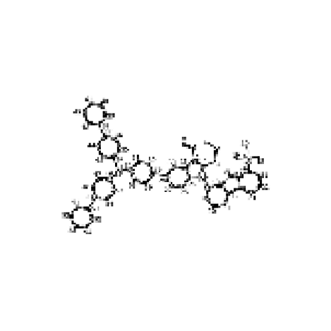 C=Cc1c(/C=C\C)n(-c2cccc3c2sc2c([Si](C)(C)C)cccc23)c2ccc(-c3ccc(N(c4ccc(-c5ccccc5)cc4)c4ccc(-c5ccccc5)cc4)cc3)cc12